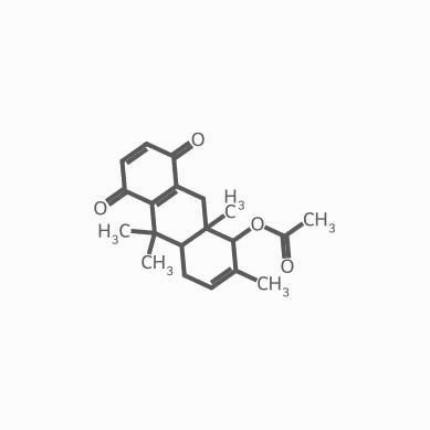 CC(=O)OC1C(C)=CCC2C(C)(C)C3=C(CC12C)C(=O)C=CC3=O